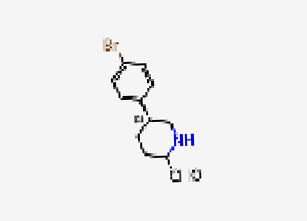 O=CC1CC[C@@H](c2ccc(Br)cc2)CN1